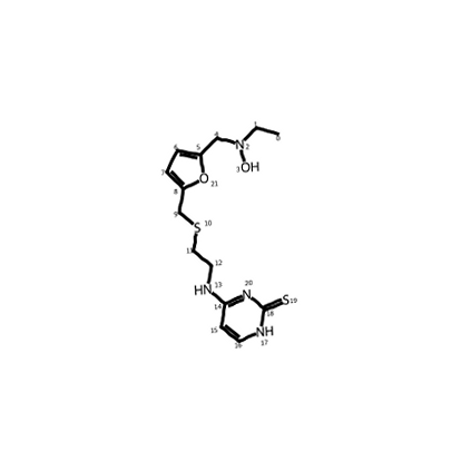 CCN(O)Cc1ccc(CSCCNc2cc[nH]c(=S)n2)o1